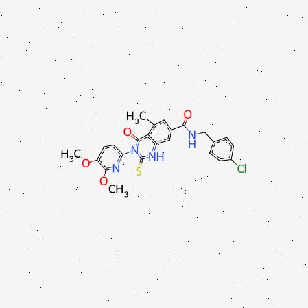 COc1ccc(-n2c(=S)[nH]c3cc(C(=O)NCc4ccc(Cl)cc4)cc(C)c3c2=O)nc1OC